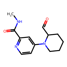 CNC(=O)c1cc(N2CCCCC2C=O)ccn1